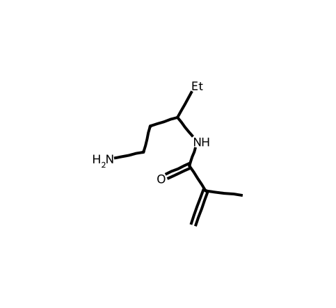 C=C(C)C(=O)NC(CC)CCN